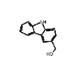 OCc1ccc2[nH]c3ccccc3c2c1